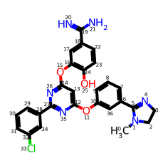 CN1CCN=C1c1cccc(Oc2cc(Oc3cc(C(=N)N)ccc3O)nc(-c3cccc(Cl)c3)n2)c1